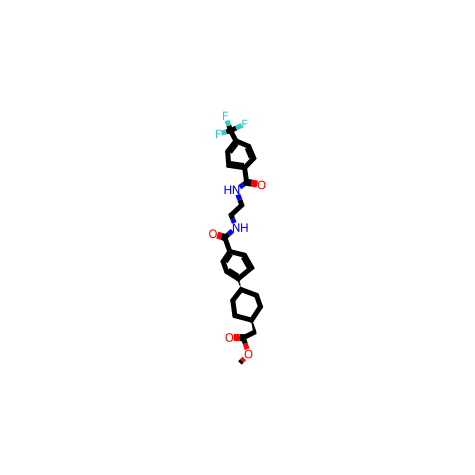 COC(=O)C[C@H]1CC[C@H](c2ccc(C(=O)NCCNC(=O)c3ccc(C(F)(F)F)cc3)cc2)CC1